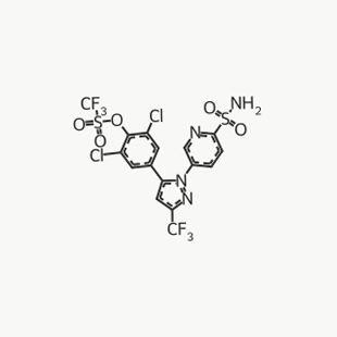 NS(=O)(=O)c1ccc(-n2nc(C(F)(F)F)cc2-c2cc(Cl)c(OS(=O)(=O)C(F)(F)F)c(Cl)c2)cn1